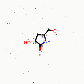 O=C1N[C@H](CO)C[C@H]1O